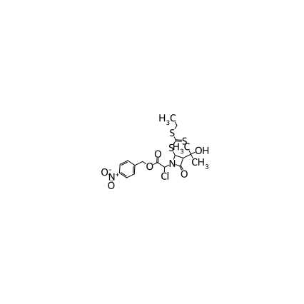 CCSC(=S)SC1C(C(C)(C)O)C(=O)N1C(Cl)C(=O)OCc1ccc([N+](=O)[O-])cc1